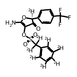 [2H]c1c([2H])c([2H])c(C([2H])([2H])S(=O)(=O)OC2=C(N)O[C@@]([2H])(c3ccc(C(F)(F)F)cc3)C2=O)c([2H])c1[2H]